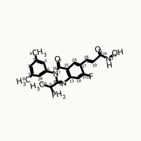 Cc1cc(C)cc(-n2c(C(C)P)nc3cc(F)c(/C=C/C(=O)NO)cc3c2=O)c1